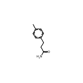 Cc1ccc(CCC(N)=O)cc1